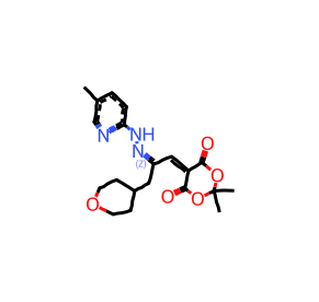 Cc1ccc(N/N=C(\C=C2C(=O)OC(C)(C)OC2=O)CC2CCOCC2)nc1